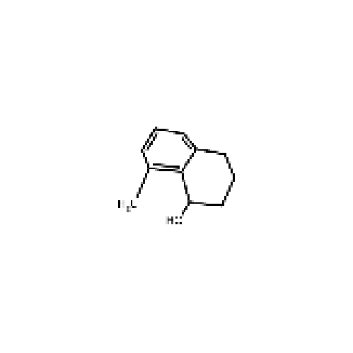 Cc1cccc2c1C(O)CCC2